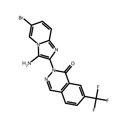 Nc1c(-n2ncc3ccc(C(F)(F)F)cc3c2=O)nc2ccc(Br)cn12